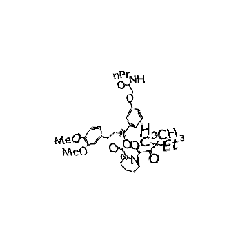 CCCNC(=O)COc1cccc([C@@H](CCc2ccc(OC)c(OC)c2)OC(=O)[C@@H]2CCCCN2C(=O)C(=O)C(C)(C)CC)c1